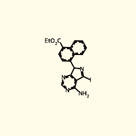 CCOC(=O)c1ccc(C2N=C(I)c3c(N)ncnc32)c2ccccc12